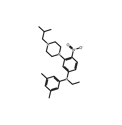 CCN(c1cc(C)cc(C)c1)c1ccc([N+](=O)[O-])c(N2CCN(C[C](C)C)CC2)c1